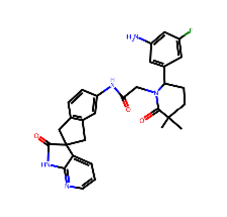 CC1(C)CCC(c2cc(N)cc(F)c2)N(CC(=O)Nc2ccc3c(c2)CC2(C3)C(=O)Nc3ncccc32)C1=O